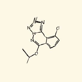 CC(C)Oc1nn2nnnc2c2c(Cl)cccc12